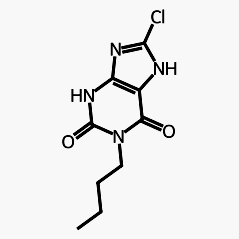 CCCCn1c(=O)[nH]c2nc(Cl)[nH]c2c1=O